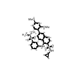 COc1ncc(-c2ccc3c(Nc4cccc(S(=O)(=O)N(C)C)c4)c(S(=O)(=O)NC4CC4)cnc3c2)c(OC)n1